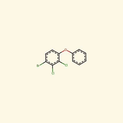 Clc1c(Br)ccc(Oc2ccccc2)c1Cl